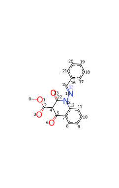 COC(=O)C1C(=O)c2ccccc2N(/N=C/c2ccccc2)C1=O